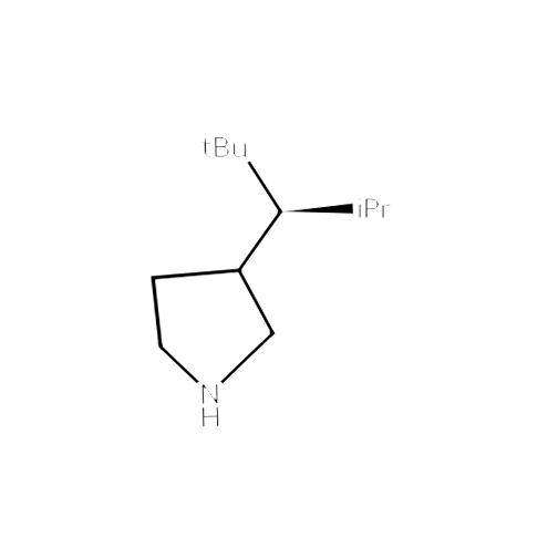 CC(C)[C@@H](C1CCNC1)C(C)(C)C